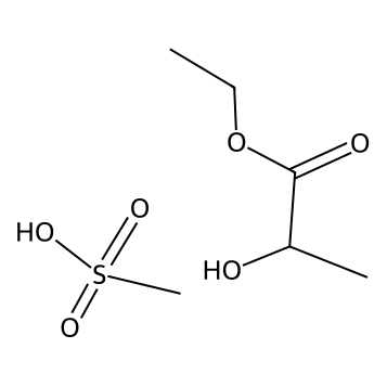 CCOC(=O)C(C)O.CS(=O)(=O)O